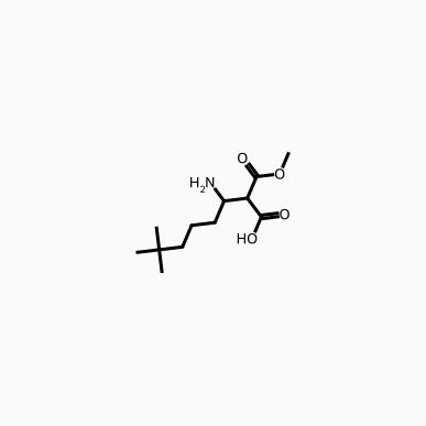 COC(=O)C(C(=O)O)C(N)CCCC(C)(C)C